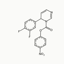 O=C(Oc1ccc([N+](=O)[O-])cc1)N1C=NC=CC1c1ccc(F)c(F)c1